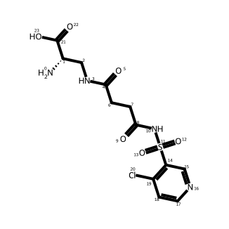 N[C@@H](CNC(=O)CCC(=O)NS(=O)(=O)c1cnccc1Cl)C(=O)O